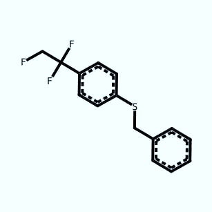 FCC(F)(F)c1ccc(SCc2ccccc2)cc1